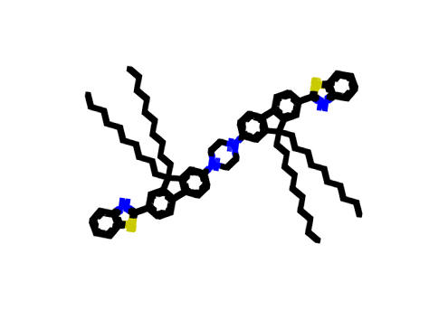 CCCCCCCCCCC1(CCCCCCCCCC)c2cc(-c3nc4ccccc4s3)ccc2-c2ccc(N3CCN(c4ccc5c(c4)C(CCCCCCCCCC)(CCCCCCCCCC)c4cc(-c6nc7ccccc7s6)ccc4-5)CC3)cc21